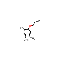 CC(=O)Oc1cc(C(C)C)c(OCCC(C)C)cc1C